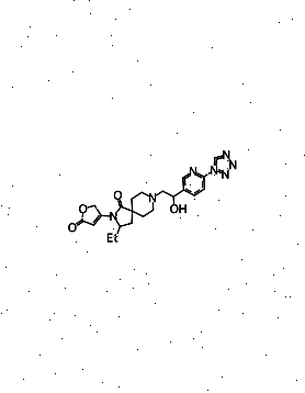 CCC1CC2(CCN(CC(O)c3ccc(-n4cnnn4)nc3)CC2)C(=O)N1C1=CC(=O)OC1